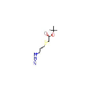 CC(C)(C)OC(=O)CSCCCN=[N+]=[N-]